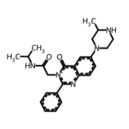 CC(C)NC(=O)Cn1c(-c2ccccc2)nc2ccc(N3CCNC(C)C3)cc2c1=O